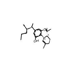 C=C(C)[C@@H]1CCC(C)=C[C@H]1c1c(O)cc(C(C)C(C)CCC)cc1O